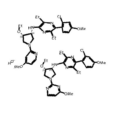 CCO[C@H]1CN(c2cc(OC)ccn2)C[C@H]1Nc1nc(CC)c(-c2ccc(OC)cc2Cl)nc1CC.CCO[C@H]1CN(c2nccc(OC)n2)C[C@H]1Nc1nc(CC)c(-c2ccc(OC)cc2Cl)nc1CC.[Cl-].[H+]